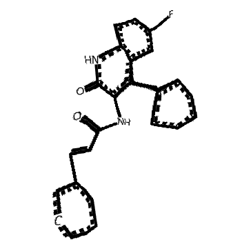 O=C(/C=C/c1ccccc1)Nc1c(-c2ccccc2)c2cc(F)ccc2[nH]c1=O